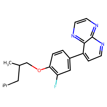 CC(C)CC(C)COc1ccc(-c2ccnc3nccnc23)cc1F